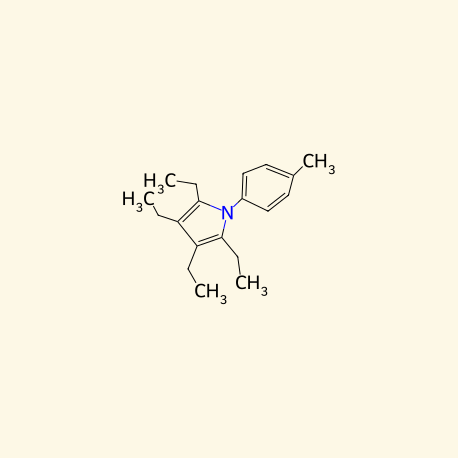 CCc1c(CC)c(CC)n(-c2ccc(C)cc2)c1CC